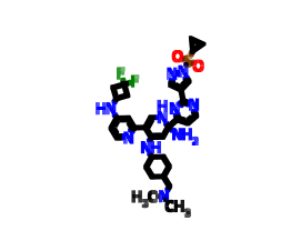 CN(C)CC1CCC(NC2=CC(N)(c3ccnc(-c4cnn(S(=O)(=O)C5CC5)c4)n3)NC=C2c2cc(NC3CC(F)(F)C3)ccn2)CC1